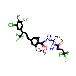 Cc1cc(C=CC(c2cc(Cl)c(F)c(Cl)c2)C(F)(F)F)ccc1C(=O)N[C@H](C)NC(=O)CCC(F)(F)F